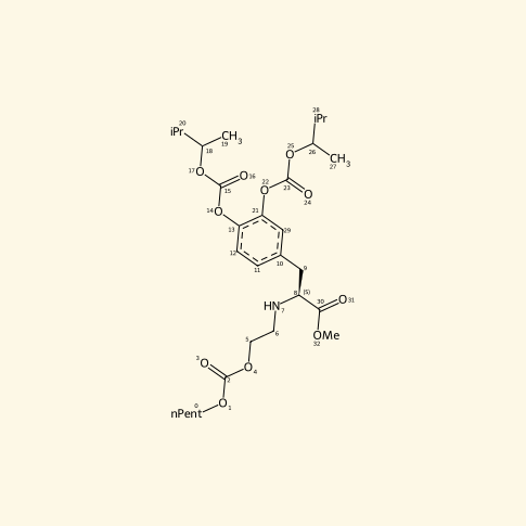 CCCCCOC(=O)OCCN[C@@H](Cc1ccc(OC(=O)OC(C)C(C)C)c(OC(=O)OC(C)C(C)C)c1)C(=O)OC